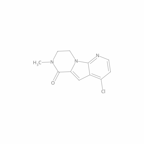 CN1CCn2c(cc3c(Cl)ccnc32)C1=O